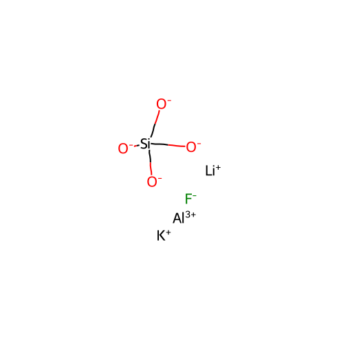 [Al+3].[F-].[K+].[Li+].[O-][Si]([O-])([O-])[O-]